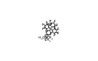 C[N+](C)(C)C.Fc1c(F)c(F)c([B-](c2c(F)c(F)c(F)c(F)c2F)(c2c(F)c(F)c(F)c(F)c2F)C2CCCCC2)c(F)c1F